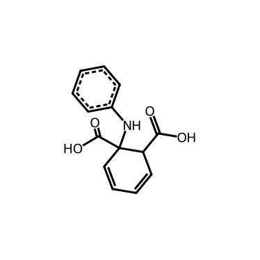 O=C(O)C1C=CC=CC1(Nc1ccccc1)C(=O)O